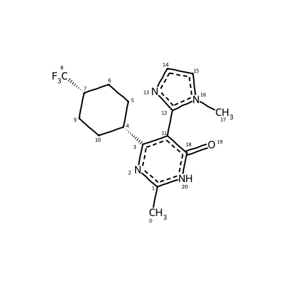 Cc1nc([C@H]2CC[C@@H](C(F)(F)F)CC2)c(-c2nccn2C)c(=O)[nH]1